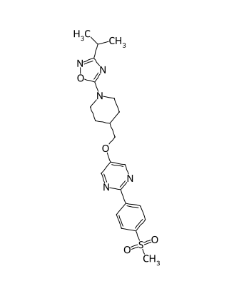 CC(C)c1noc(N2CCC(COc3cnc(-c4ccc(S(C)(=O)=O)cc4)nc3)CC2)n1